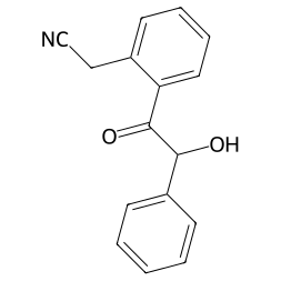 N#CCc1ccccc1C(=O)C(O)c1ccccc1